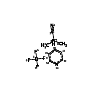 C[NH+](C)C#N.F[B-](F)(F)F.c1ccncc1